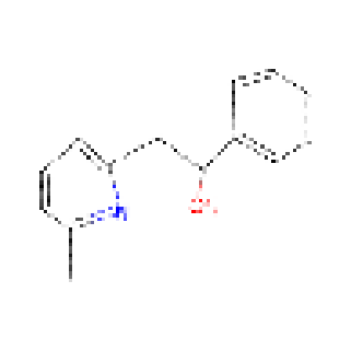 Cc1cccc(CC(O)c2ccccc2)n1